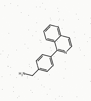 NCc1ccc(-c2nccc3ccccc23)cc1